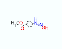 COC(=O)c1ccc(N/C=N/O)cc1